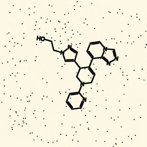 OCCn1cc(C2CN(c3ccccn3)CC=C2c2cccn3cnnc23)cn1